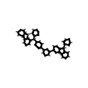 c1ccc(N(c2ccc(-c3cccc(-c4ccc5c(c4)c4ccccc4n5-c4ccccc4)c3)cc2)c2cccc3c2sc2ccccc23)cc1